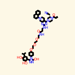 C=CC(=O)N1CCN(c2nc(NCCC(=O)NCCOCCOCCOc3ccc(-n4c(O)nnc4-c4cc(C(C)C)c(O)cc4O)cc3)nc3c2CCN(c2cccc4ccccc24)C3)C[C@@H]1CC#N